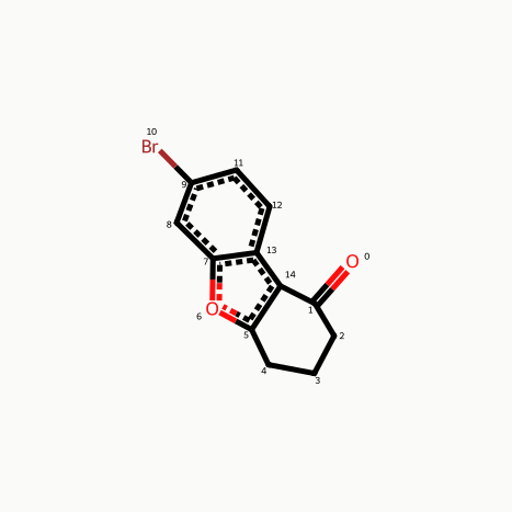 O=C1CCCc2oc3cc(Br)ccc3c21